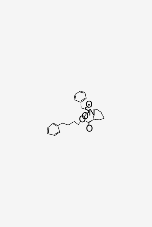 O=C(OCCCCc1ccccc1)[C@@H]1CCCCN1S(=O)(=O)Cc1ccccc1